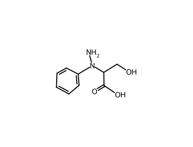 NN(c1ccccc1)C(CO)C(=O)O